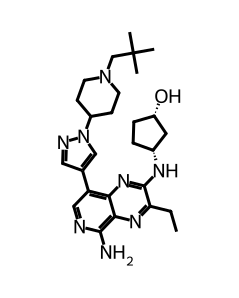 CCc1nc2c(N)ncc(-c3cnn(C4CCN(CC(C)(C)C)CC4)c3)c2nc1N[C@@H]1CC[C@H](O)C1